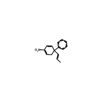 [CH2]/C=C/C1(c2ccccc2)C=CC([N+](=O)[O-])=CC1